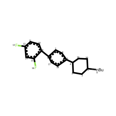 CCCCC1CCC(c2ccc(-c3ccc(F)cc3F)cc2)CC1